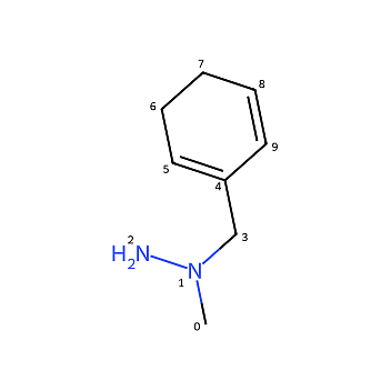 CN(N)CC1=CCCC=C1